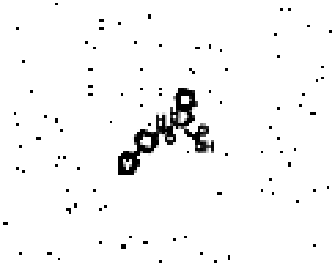 O=C(O)C[C@@H](Cc1ccccc1)NC(=O)Nc1ccc(-c2ccccc2)cc1